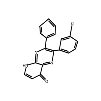 O=c1cc[nH]c2nc(-c3ccccc3)c(-c3cccc(Cl)c3)nc12